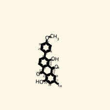 COc1ccc(-c2ccc3c(c2O)C(=O)c2cc(I)cc(O)c2C3=O)cc1